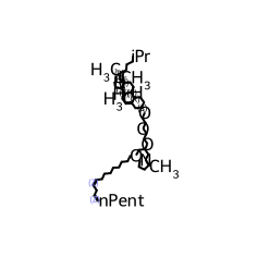 CCCCC/C=C\C/C=C\CCCCCCCCOCC(CN1CCCC1C)OCCOCCO[C@H]1CC[C@@]2(C)C(=CC[C@H]3[C@@H]4CC[C@H]([C@H](C)CCCC(C)C)[C@@]4(C)CC[C@@H]32)C1